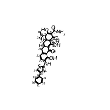 CN(C)[C@H]1C(O)=C(C(N)=O)C(=O)[C@]2(O)C(O)=C3C(=O)c4c(ccc(Nc5nc(-c6ccccc6)cs5)c4O)C[C@H]3C[C@@H]12